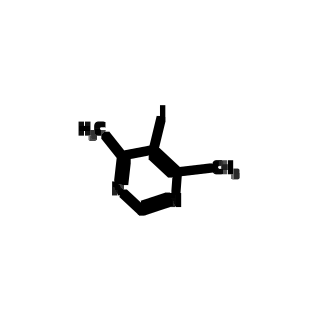 Cc1ncnc(C)c1I